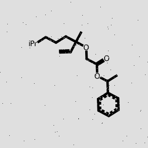 C=CC(C)(CCCC(C)C)OCC(=O)OC(C)c1ccccc1